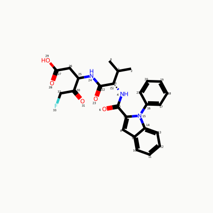 CC(C)[C@H](NC(=O)c1cc2ccccc2n1-c1ccccc1)C(=O)NC(CC(=O)O)C(=O)CF